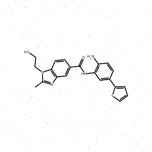 Cc1nc2cc(C(=O)Nc3cc(-c4cccs4)ccc3N)ccc2n1CCO